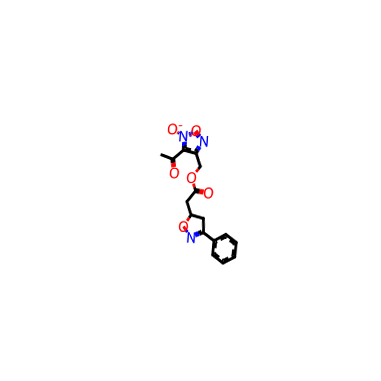 CC(=O)c1c(COC(=O)CC2CC(c3ccccc3)=NO2)no[n+]1[O-]